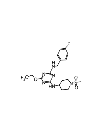 CS(=O)(=O)N1CCC(Nc2nc(NCc3ccc(F)cc3)nc(OCC(F)(F)F)n2)CC1